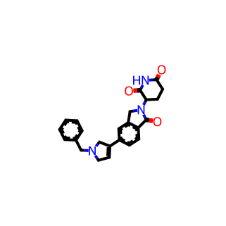 O=C1CCC(N2Cc3cc(C4=CCN(Cc5ccccc5)C4)ccc3C2=O)C(=O)N1